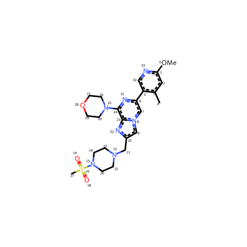 COc1cc(C)c(-c2cn3cc(CN4CCN(S(C)(=O)=O)CC4)nc3c(N3CCOCC3)n2)cn1